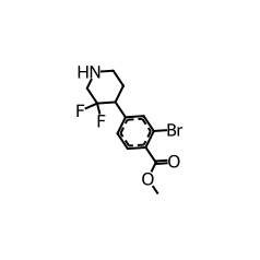 COC(=O)c1ccc(C2CCNCC2(F)F)cc1Br